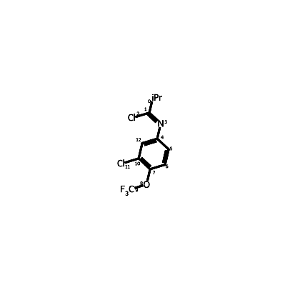 CC(C)/C(Cl)=N/c1ccc(OC(F)(F)F)c(Cl)c1